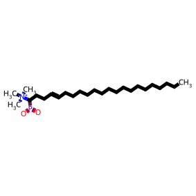 CCCCCCCCCCCCCCCCCC=CCCC(P(=O)=O)[N+](C)(C)C